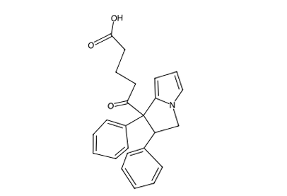 O=C(O)CCCC(=O)C1(c2ccccc2)c2cccn2CC1c1ccccc1